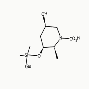 C[C@H]1[C@@H](O[Si](C)(C)C(C)(C)C)C[C@@H](O)CN1C(=O)O